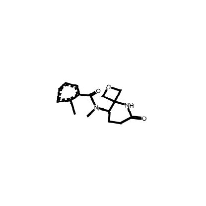 Cc1ccccc1C(=O)N(C)C1CCC(=O)NC12COC2